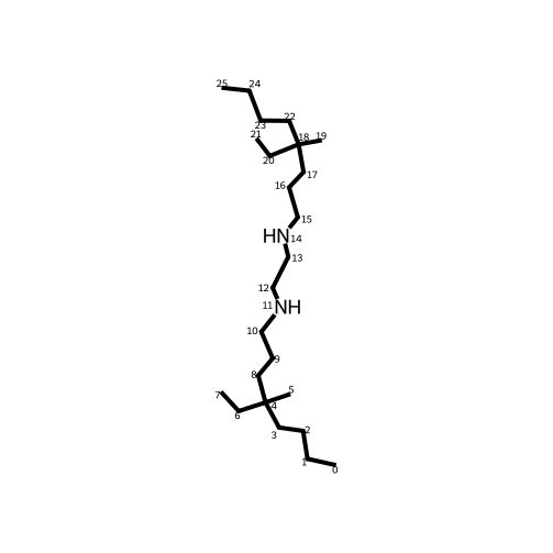 CCCCC(C)(CC)CCCNCCNCCCC(C)(CC)CCCC